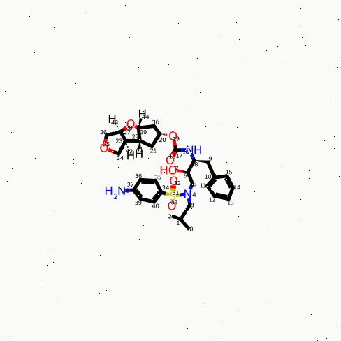 CC(C)CN(C[C@@H](O)[C@H](Cc1ccccc1)NC(=O)O[C@@H]1C[C@@H]2[C@H]3COC[C@H]3O[C@@H]2C1)S(=O)(=O)c1ccc(N)cc1